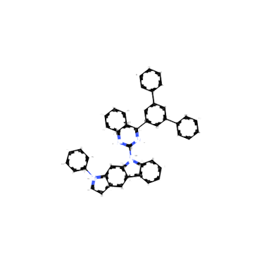 c1ccc(-c2cc(-c3ccccc3)cc(-c3nc(-n4c5ccccc5c5cc6ccn(-c7ccccc7)c6cc54)nc4ccccc34)c2)cc1